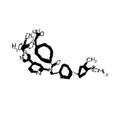 COc1ccc([C@H]2CC[C@H](CN(c3cc(-c4cnn(C(C)(C)C)c4)ccn3)C(=O)[C@H]3CC[C@H](CC(=O)O)CC3)CC2)cc1C